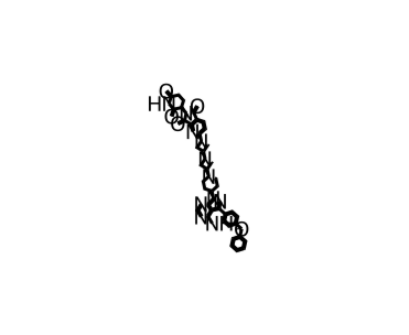 Nc1ncnc2c1c(-c1ccc(Oc3ccccc3)cc1)nn2C1CCN(C2CN(C3CN(c4ccc5c(n4)C(=O)N(C4CCC(=O)NC4=O)C5=O)C3)C2)CC1